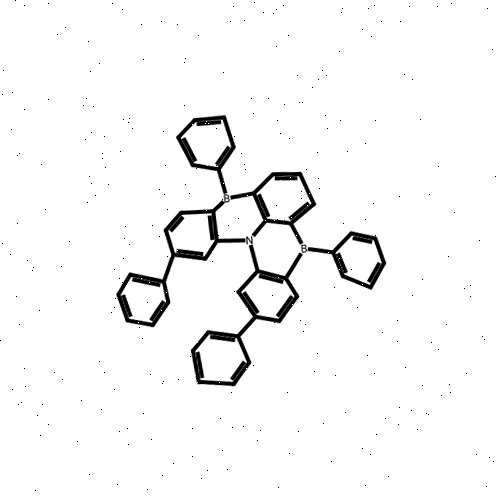 c1ccc(B2c3ccc(-c4ccccc4)cc3N3c4cc(-c5ccccc5)ccc4B(c4ccccc4)c4cccc2c43)cc1